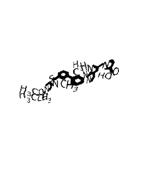 Cc1c(Nc2nccc3cc(CN4CCC(C(=O)O)C4)cnc23)cccc1-c1cccc(-c2nc3c(s2)CN(C(=O)OC(C)(C)C)C3)c1C